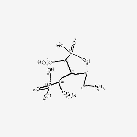 NCCC(C(C(=O)O)P(=O)(O)O)C(C(=O)O)P(=O)(O)O